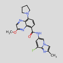 COc1cnc2c(N3C[CH]CC3)ccc(C(=O)Nc3cc(F)c4nc(C)cn4c3)c2n1